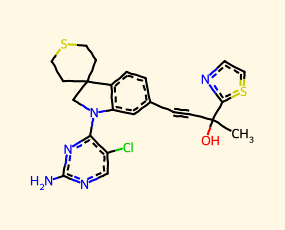 CC(O)(C#Cc1ccc2c(c1)N(c1nc(N)ncc1Cl)CC21CCSCC1)c1nccs1